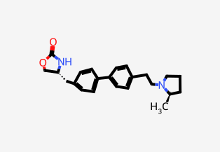 C[C@@H]1CCCN1CCc1ccc(-c2ccc(C[C@@H]3COC(=O)N3)cc2)cc1